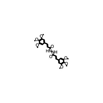 COc1cc(/C=C/C(=O)NNC(=O)/C=C/c2cc(OC)c(OC)c(OC)c2)cc(OC)c1OC